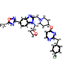 FC(F)(F)c1nc(-c2ccc3c(c2)nc(CN2CCC(Oc4ccnc(Cc5ccc(Cl)cc5)n4)CC2)n3C[C@@H]2CCO2)no1